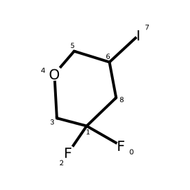 FC1(F)COCC(I)C1